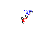 CCOc1ccccc1Oc1ccc(NC(=O)c2ccc(C)nc2N)cc1